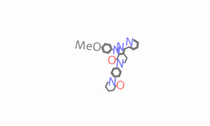 COc1ccc(-n2nc(-c3ccccn3)c3c2C(=O)N(c2ccc(N4CCCCC4=O)cc2)CC3)cc1